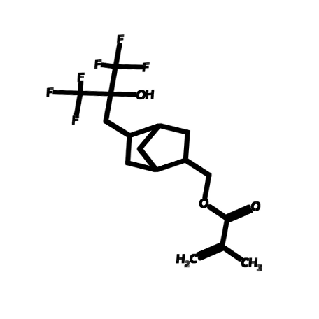 C=C(C)C(=O)OCC1CC2CC1CC2CC(O)(C(F)(F)F)C(F)(F)F